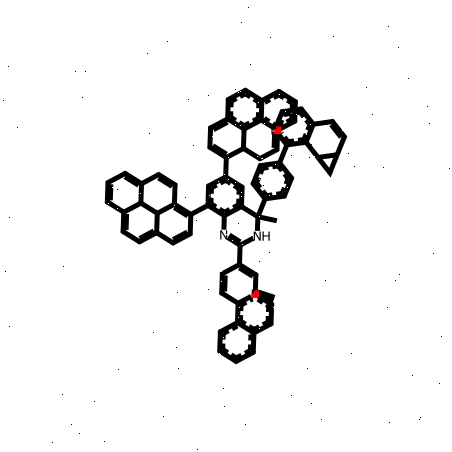 C=C/C=C(\C=C/c1nccc2ccccc12)C1=Nc2c(C3=C4C=CC5=CC=CC6=CC=C(C=C3)C4C56)cc(C3=CC=c4ccc5cccc6c5c4C3CC=6)cc2C(C)(c2ccc(-c3nccc4c3C3CC3C=C4)cc2)N1